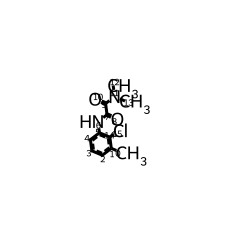 Cc1cccc(NC(=O)C(=O)N(C)C)c1Cl